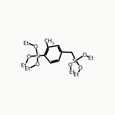 CCO[Si](Cc1ccc([Si](OCC)(OCC)OCC)c(C)c1)(OCC)OCC